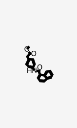 COC(=O)Cc1ccc(NC(=O)c2cccc3ccccc23)cc1